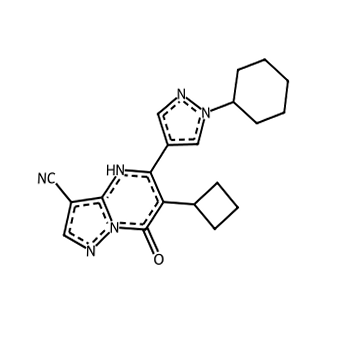 N#Cc1cnn2c(=O)c(C3CCC3)c(-c3cnn(C4CCCCC4)c3)[nH]c12